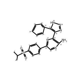 CC(C)S(=O)(=O)c1ccc(-c2cnc(N)c(-c3nn[nH]c3-c3ccccc3)n2)cc1